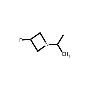 CC(I)N1CC(F)C1